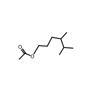 CC(=O)OCCCC(C)C(C)C